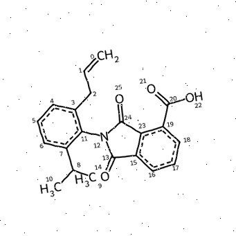 C=CCc1cccc(C(C)C)c1N1C(=O)c2cccc(C(=O)O)c2C1=O